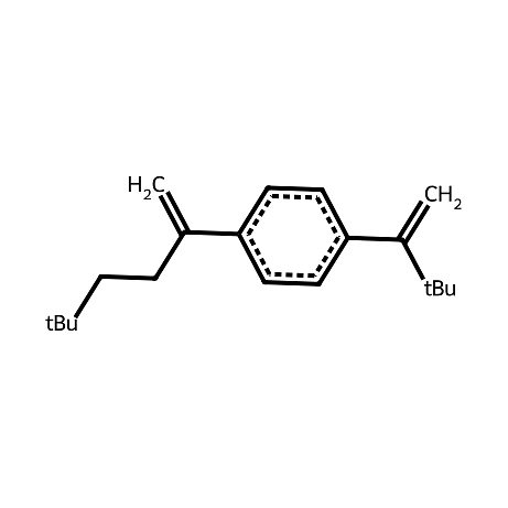 C=C(CCC(C)(C)C)c1ccc(C(=C)C(C)(C)C)cc1